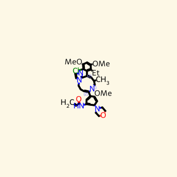 C=CC(=O)NC1=CC(N2CCOCC2)C=C(OC)C(C2=C/CCn3ccnc3/C(c3c(Cl)c(OC)cc(OC)c3CC)=C\C(C)/C=N\2)=C1